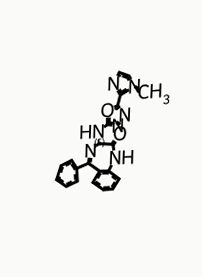 Cn1ccnc1-c1nnc(N[C@H]2N=C(c3ccccc3)c3ccccc3NC2=O)o1